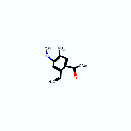 C=Cc1cc(NC(C)(C)C)c([N+](=O)[O-])cc1C(=O)OC